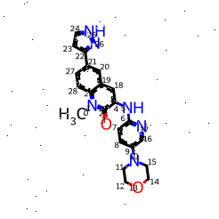 Cn1c(=O)c(Nc2ccc(N3CCOCC3)cn2)cc2cc(-c3cc[nH]n3)ccc21